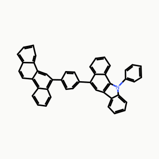 c1ccc(-n2c3ccccc3c3cc(-c4ccc(-c5cc6c7ccccc7ccc6c6ccccc56)cc4)c4ccccc4c32)cc1